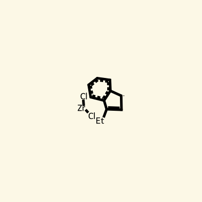 CCC1=C[CH]c2ccccc21.[Cl][Zr][Cl]